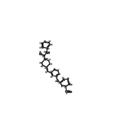 COc1cc(Oc2cccc(C=C3CCN(C(=O)Nc4cccnn4)CC3)c2)ncn1